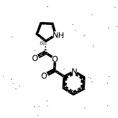 O=C(OC(=O)[C@@H]1CCCN1)c1ccccn1